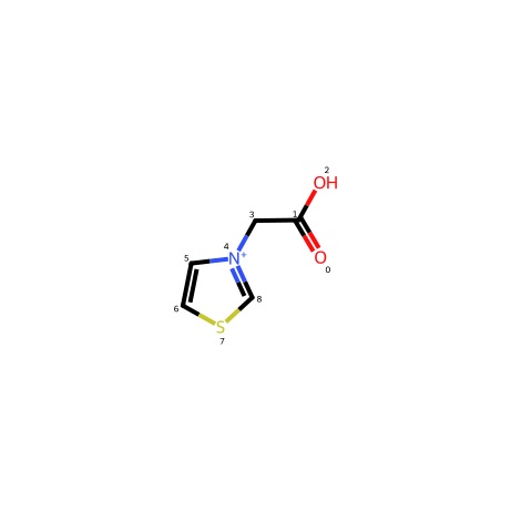 O=C(O)C[n+]1ccsc1